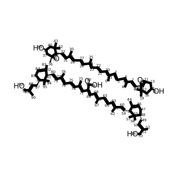 CC(/C=C/C=C(C)/C=C/[C@@]12O[C@]1(C)C[C@@H](O)CC2(C)C)=C\C=C\C=C(C)\C=C\C=C(C)\C=C\[C@@]12O[C@]1(C)C[C@@H](O)CC2(C)C.CC1=CC[C@H](C/C=C(\C)CO)C(C)(C)[C@@H]1/C=C/C(C)=C/C=C/C(C)=C/C=C(/C=C(C)/C=C/C=C(C)/C=C/[C@@H]1C(C)=CC[C@H](C/C=C(\C)CO)C1(C)C)C(=O)O